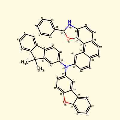 CC1(C)c2ccccc2-c2ccc(N(c3ccc4oc5ccccc5c4c3)c3ccc4ccc5ccc6c(c5c4c3)OC(c3ccccc3)N6)cc21